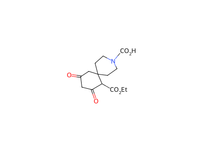 CCOC(=O)C1C(=O)CC(=O)CC12CCN(C(=O)O)CC2